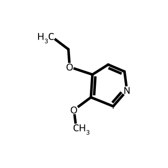 CCOc1ccn[c]c1OC